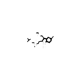 CCOC(=O)c1c(CCN(C)C(=O)OC(C)(C)C)[nH]c2ccc(C)cc12